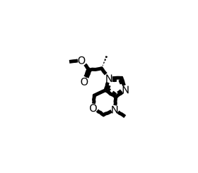 COC(=O)[C@H](C)n1cnc2c1COCN2C